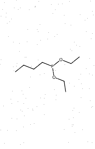 CCCCP(OCC)OCC